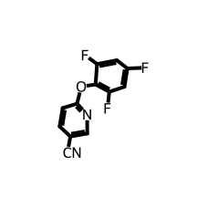 N#Cc1ccc(Oc2c(F)cc(F)cc2F)nc1